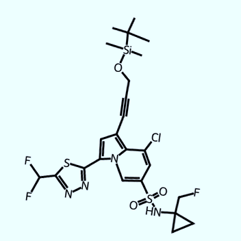 CC(C)(C)[Si](C)(C)OCC#Cc1cc(-c2nnc(C(F)F)s2)n2cc(S(=O)(=O)NC3(CF)CC3)cc(Cl)c12